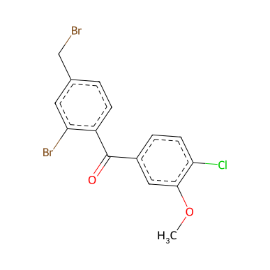 COc1cc(C(=O)c2ccc(CBr)cc2Br)ccc1Cl